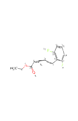 CCOC(=O)C=CC=Cc1c(F)cccc1F